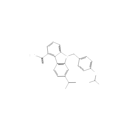 CC(C)c1c[c]c2c3c(C(N)=O)cccc3n(Cc3ccc(OC(F)F)cc3)c2c1